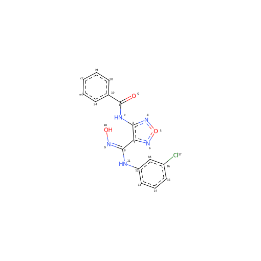 O=C(Nc1nonc1/C(=N\O)Nc1cccc(Cl)c1)c1ccccc1